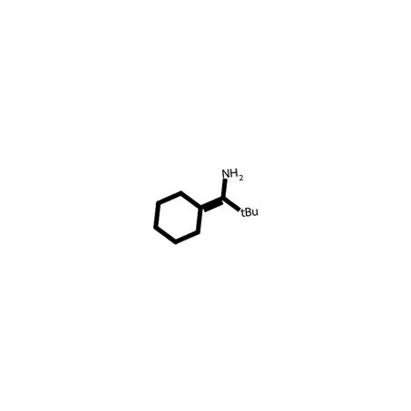 CC(C)(C)C(N)=C1CCCCC1